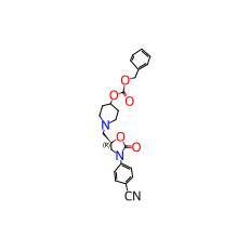 N#Cc1ccc(N2C[C@@H](CN3CCC(OC(=O)OCc4ccccc4)CC3)OC2=O)cc1